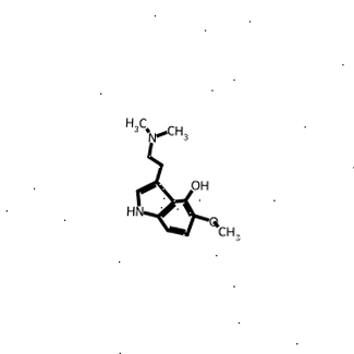 COc1ccc2[nH]cc(CCN(C)C)c2c1O